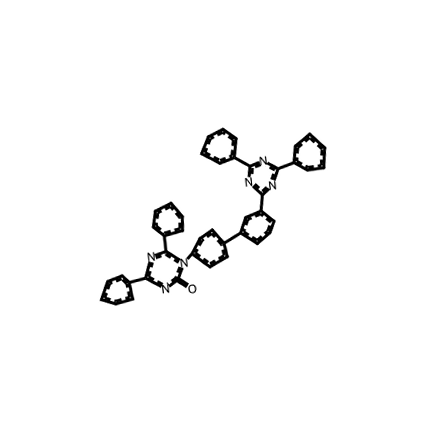 O=c1nc(-c2ccccc2)nc(-c2ccccc2)n1-c1ccc(-c2cccc(-c3nc(-c4ccccc4)nc(-c4ccccc4)n3)c2)cc1